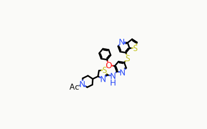 CC(=O)N1CCC(C2CSC(Nc3ncc(Sc4ccnc5ccsc45)cc3Oc3ccccc3)=N2)CC1